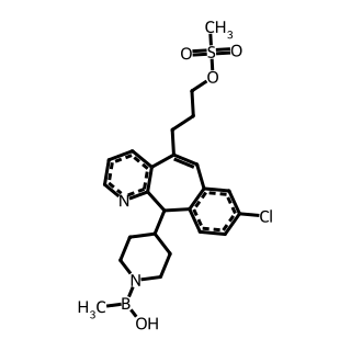 CB(O)N1CCC(C2c3ccc(Cl)cc3C=C(CCCOS(C)(=O)=O)c3cccnc32)CC1